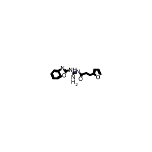 N/C(=N\C(=O)CCc1ccco1)Nc1nc2ccccc2o1